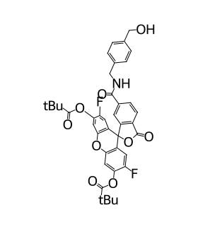 CC(C)(C)C(=O)Oc1cc2c(cc1F)C1(OC(=O)c3ccc(C(=O)NCc4ccc(CO)cc4)cc31)c1cc(F)c(OC(=O)C(C)(C)C)cc1O2